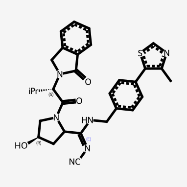 Cc1ncsc1-c1ccc(CN/C(=N/C#N)C2C[C@@H](O)CN2C(=O)[C@H](C(C)C)N2Cc3ccccc3C2=O)cc1